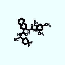 Cc1cc(C)c(NC(=O)Nc2cc3ccccc3cc2C(=O)N[C@H](C#N)C2CCC(F)(F)CC2)c(C)c1